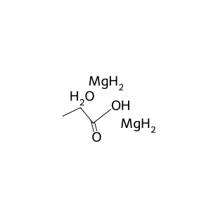 CCC(=O)O.O.[MgH2].[MgH2]